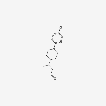 CC(CC=O)C1CCN(c2ncc(Cl)cn2)CC1